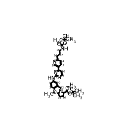 COc1ccc(Nc2nccc(-c3ccc(CCCNC(=O)OC(C)(C)C)nc3)n2)cc1CN1CCCC1C(=O)OC(C)(C)C